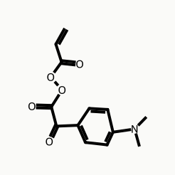 C=CC(=O)OOC(=O)C(=O)c1ccc(N(C)C)cc1